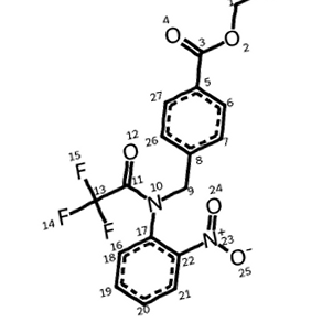 CCOC(=O)c1ccc(CN(C(=O)C(F)(F)F)c2ccccc2[N+](=O)[O-])cc1